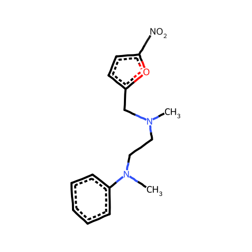 CN(CCN(C)c1ccccc1)Cc1ccc([N+](=O)[O-])o1